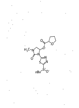 CCCC[S+]([O-])c1nnc(N2C(=O)N(C)CC2OC(=O)C2CCCO2)s1